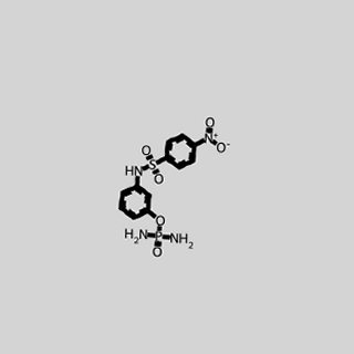 NP(N)(=O)Oc1cccc(NS(=O)(=O)c2ccc([N+](=O)[O-])cc2)c1